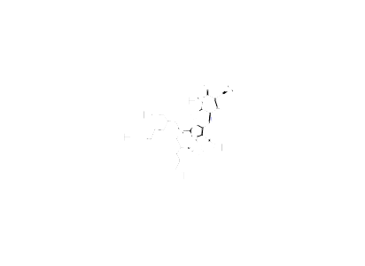 CCCCC(CC)CN(CC(CC)CCCC)c1nc(C(C)(C)C)c(/C=C2\C(=O)NC(=O)C(C#N)=C2C)s1